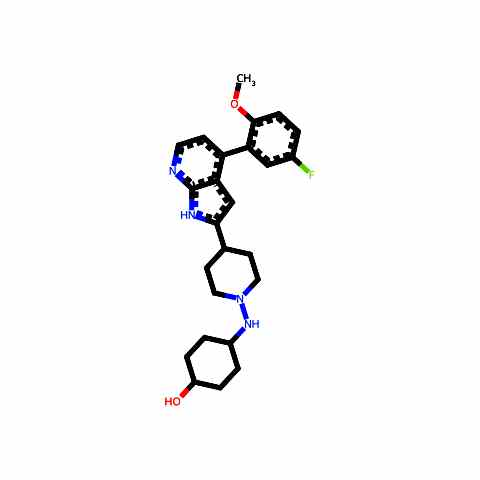 COc1ccc(F)cc1-c1ccnc2[nH]c(C3CCN(NC4CCC(O)CC4)CC3)cc12